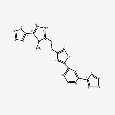 Cn1c(SCc2noc(-c3cccc(-c4ccoc4)c3)n2)nnc1-c1cccs1